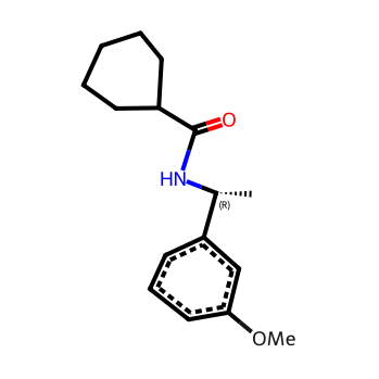 COc1cccc([C@@H](C)NC(=O)C2CCCCC2)c1